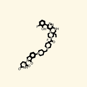 CCC12CNc3nnc(-c4cccc(F)c4O)cc3N1CCN(C(=O)C1(F)CCN(CC3CCN(c4ccc5c(c4)C(=O)N([C@H]4CCC(=O)NC4=O)C5)CC3)CC1)C2